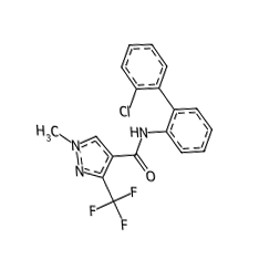 Cn1cc(C(=O)Nc2ccccc2-c2ccccc2Cl)c(C(F)(F)F)n1